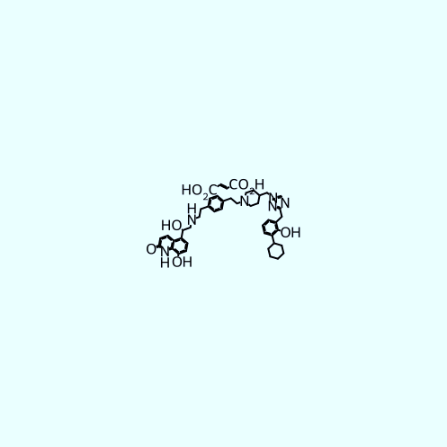 O=C(O)C=CC(=O)O.O=c1ccc2c([C@@H](O)CNCCc3ccc(CCN4CCC(Cn5cnc(Cc6cccc(C7CCCCC7)c6O)n5)CC4)cc3)ccc(O)c2[nH]1